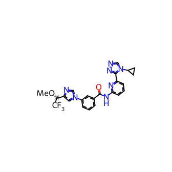 CO[C@H](c1cn(-c2cccc(C(=O)Nc3cccc(-c4nncn4C4CC4)n3)c2)cn1)C(F)(F)F